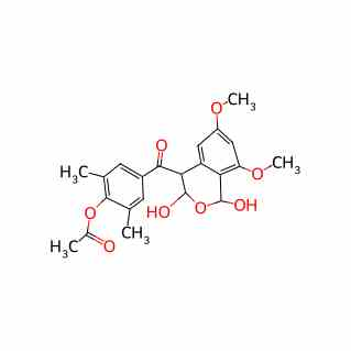 COc1cc(OC)c2c(c1)C(C(=O)c1cc(C)c(OC(C)=O)c(C)c1)C(O)OC2O